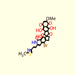 COC1=CC(=O)c2c(O)c3c(c(O)c2C1=O)C(=O)C1(CCc2c1c(O)c1c(=O)[nH]c(/C=C/c4csc(C)n4)cc1c2Br)C3=O